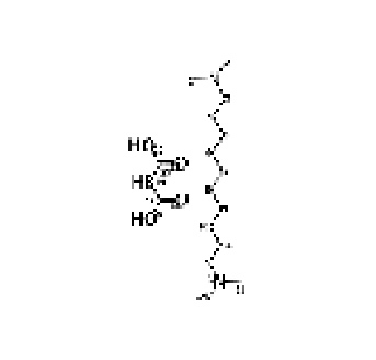 CN(C)CCCCCCCCCCN(C)C.O=C(O)BC(=O)O